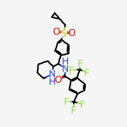 O=C(NC(c1ccc(S(=O)(=O)CC2CC2)cc1)C1CCCCN1)c1cc(C(F)(F)F)ccc1C(F)(F)F